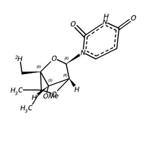 [2H]C[C@]12O[C@@H](n3ccc(=O)[nH]c3=O)[C@H](OC1(C)C)[C@@H]2OC